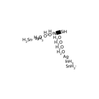 N#[SiH].O.O.O.O.O.O.O.[Ag].[InH3].[InH3].[SnH2].[SnH2]